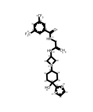 C=C(CNC(=O)c1cc(C(F)(F)F)cc(C(F)(F)F)c1)NC1CN(C2CCC(O)(c3nccs3)CC2)C1